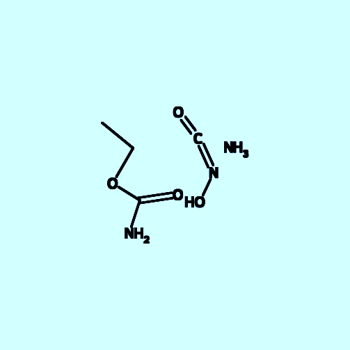 CCOC(N)=O.N.O=C=NO